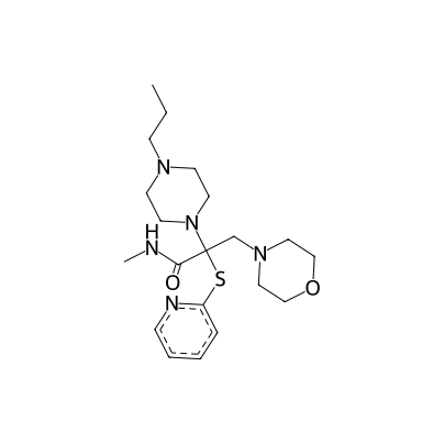 CCCN1CCN(C(CN2CCOCC2)(Sc2ccccn2)C(=O)NC)CC1